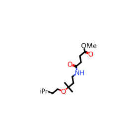 COC(=O)CCC(=O)NCCC(C)(C)OCCC(C)C